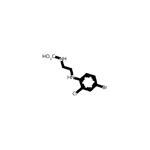 O=C(O)NCCNc1ccc(Br)cc1Cl